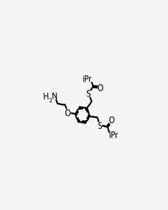 CC(C)C(=O)SCc1ccc(OCCN)cc1CSC(=O)C(C)C